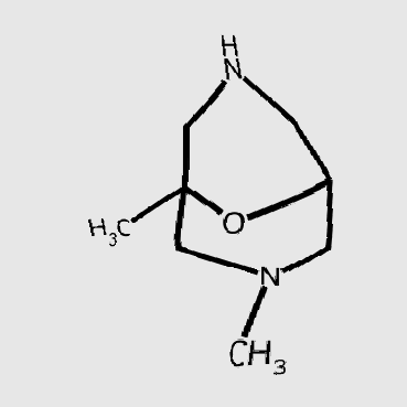 CN1CC2CNCC(C)(C1)O2